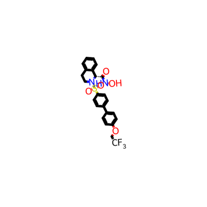 O=C(NO)[C@H]1c2ccccc2CCN1S(=O)(=O)c1ccc(-c2ccc(OCC(F)(F)F)cc2)cc1